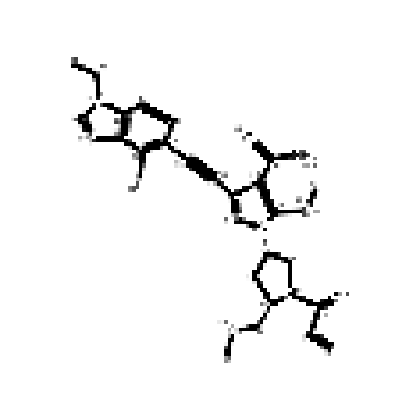 C=CC(=O)N1C[C@@H](n2nc(C#Cc3ccc4c(ncn4CC)c3F)c(C(N)=O)c2NC)C[C@@H]1COC